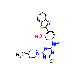 CC1CCN(c2nc(Cl)nc(Nc3ccc(-c4nc5ccccc5s4)c(O)c3)n2)CC1